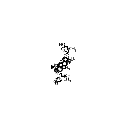 C[C@H](O)[C@H](CN[C@]12CC[C@@H](C3(C)CC3)[C@@H]1[C@H]1CC[C@@H]3[C@@]4(C)CC[C@H](OC(=O)CC(C)(C)CC(=O)O)C(C)(C)[C@@H]4CC[C@@]3(C)[C@]1(C)CC2)N1CCS(=O)(=O)CC1